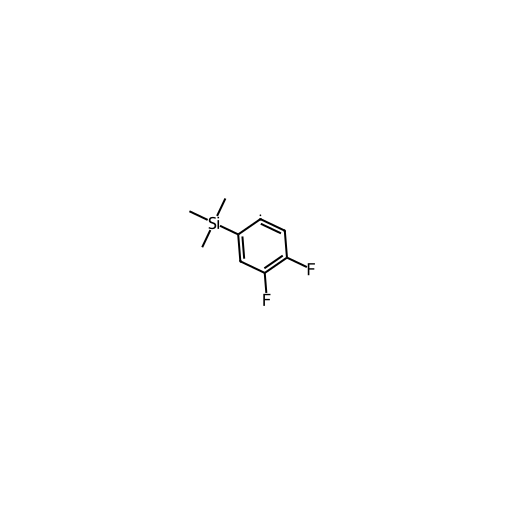 C[Si](C)(C)c1[c]cc(F)c(F)c1